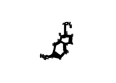 Cc1ccc2ncc(C)nc2c1